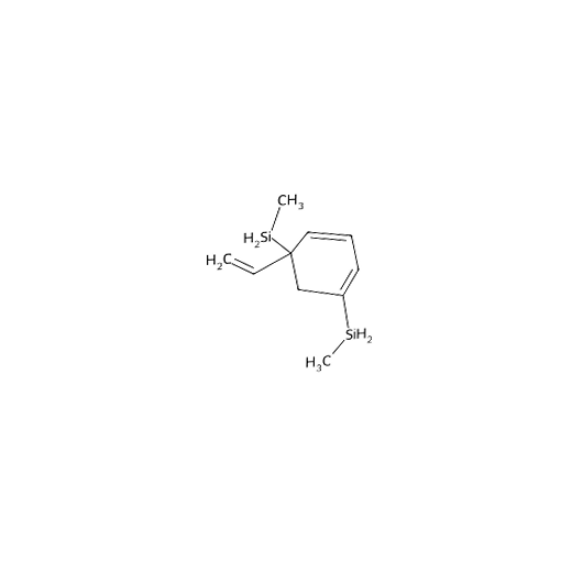 C=CC1([SiH2]C)C=CC=C([SiH2]C)C1